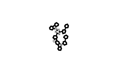 c1ccc(-c2cccc(-c3nc(-c4ccc5oc6cc7c8ccccc8n(-c8cccc(-c9ccccc9)c8)c7cc6c5c4)nc(-n4c5ccccc5c5ccccc54)n3)c2)cc1